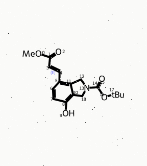 COC(=O)/C=C/c1ccc(O)c2c1CN(C(=O)OC(C)(C)C)C2